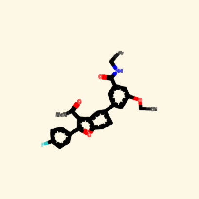 CNC(=O)c1c(-c2ccc(F)cc2)oc2ccc(-c3cc(OCC#N)cc(C(=O)NCC(C)C)c3)cc12